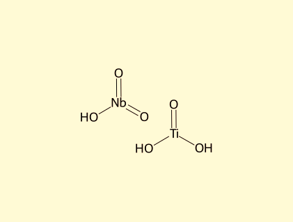 [O]=[Nb](=[O])[OH].[O]=[Ti]([OH])[OH]